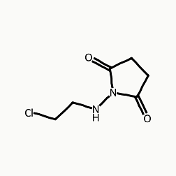 O=C1CCC(=O)N1NCCCl